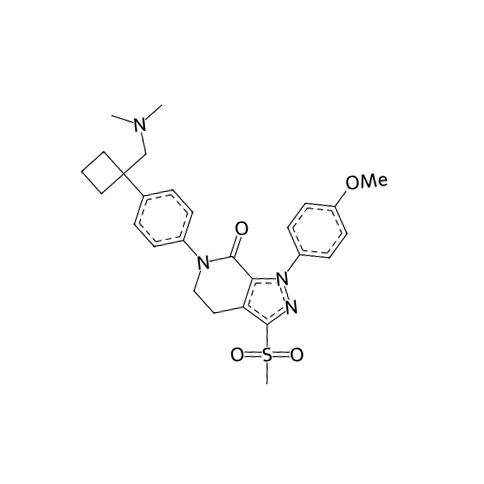 COc1ccc(-n2nc(S(C)(=O)=O)c3c2C(=O)N(c2ccc(C4(CN(C)C)CCC4)cc2)CC3)cc1